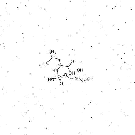 CC(C)C[C@H](N[P@](=O)(O)OC[C@H](O)CO)C(=O)O